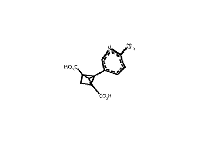 O=C(O)C12CC(C(=O)O)(C1)C2c1ccc(C(F)(F)F)nc1